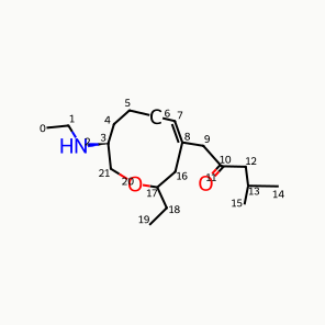 CCN[C@H]1CCC/C=C(/CC(=O)CC(C)C)CC(CC)OC1